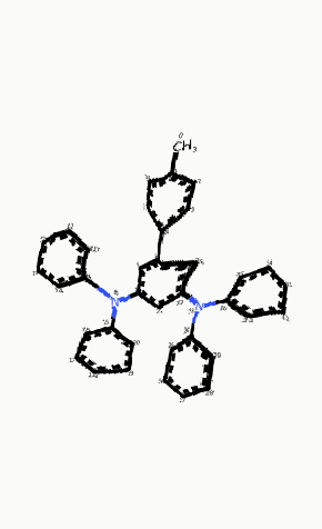 Cc1ccc(-c2cc(N(c3ccccc3)c3ccccc3)cc(N(c3ccccc3)c3ccccc3)c2)cc1